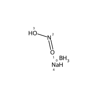 B.O=NO.[NaH]